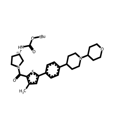 Cc1cc(-c2ccc(C3CCN(C4CCOCC4)CC3)cc2)sc1C(=O)N1CC[C@H](NC(=O)OC(C)(C)C)C1